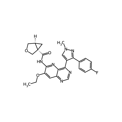 CCOc1cc2ncnc(-c3cn(C)nc3-c3ccc(F)cc3)c2nc1NC(=O)[C@]12COC[C@H]1C2